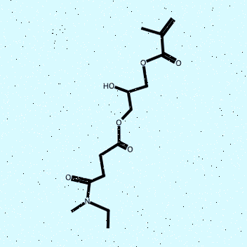 C=C(C)C(=O)OCC(O)COC(=O)CCC(=O)N(C)CC